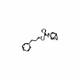 O=C(OCCCc1ccccc1)n1ccnc1